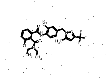 CCN(CC)C(=O)c1c(Cl)cccc1C(=O)Nc1ccc(Cn2nc(C(F)(F)F)cc2C)cc1C